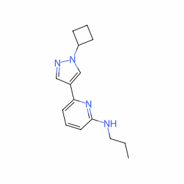 CCCNc1cccc(-c2cnn(C3CCC3)c2)n1